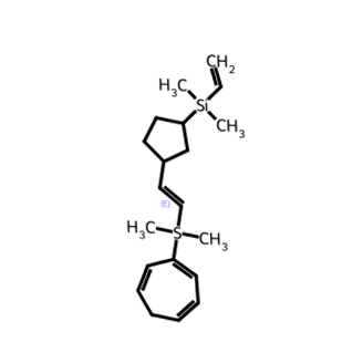 C=C[Si](C)(C)C1CCC(/C=C/S(C)(C)C2=CC=CCC=C2)C1